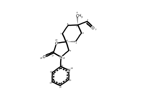 C[C@]1(C=O)CC[C@]2(CC1)CN(c1ccccn1)C(=O)O2